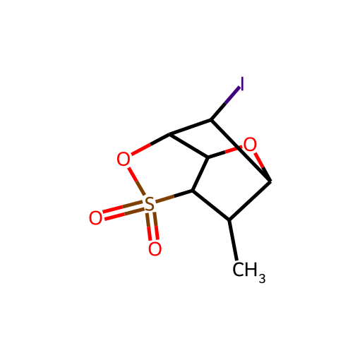 CC1C2OC3C(OS(=O)(=O)C13)C2I